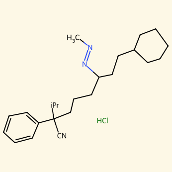 CN=NC(CCCC(C#N)(c1ccccc1)C(C)C)CCC1CCCCC1.Cl